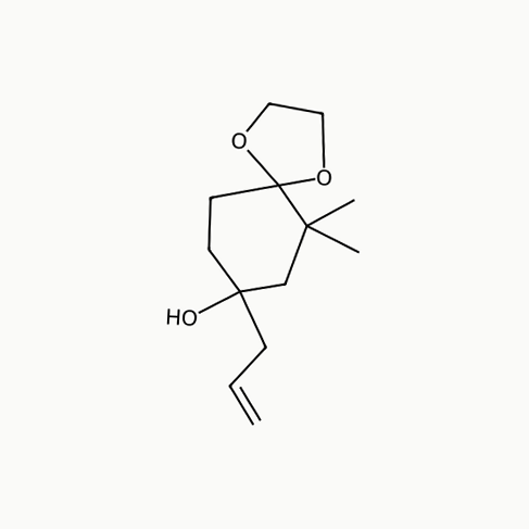 C=CCC1(O)CCC2(OCCO2)C(C)(C)C1